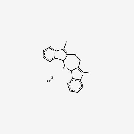 CC1=C2CCC3=C(C)c4ccccc4[CH]3[Zr+2][CH]2c2ccccc21.[Cl-].[Cl-]